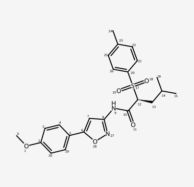 COc1ccc(-c2cc(NC(=O)[C@H](CC(C)C)S(=O)(=O)c3ccc(C)cc3)no2)cc1